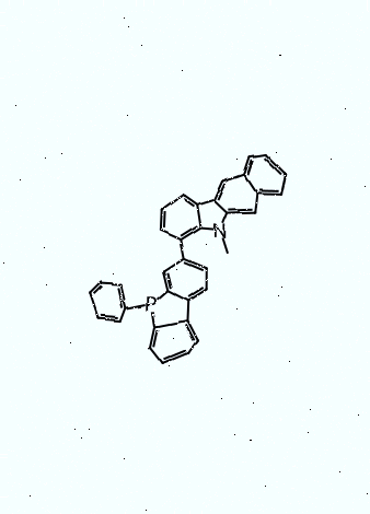 Cn1c2cc3ccccc3cc2c2cccc(-c3ccc4c5ccccc5p(-c5ccccc5)c4c3)c21